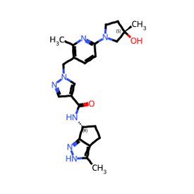 Cc1nc(N2CC[C@](C)(O)C2)ccc1Cn1cc(C(=O)N[C@@H]2CCc3c2n[nH]c3C)cn1